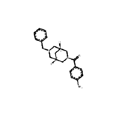 Nc1ccc(C(=O)N2C[C@@H]3C[C@@H](CN(Cc4ccccc4)C3)C2)cc1